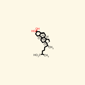 CC(CCC[C@@H](C)[C@H]1CC[C@H]2[C@@H]3CC=C4CC(O)(O)CC[C@]4(C)[C@H]3CC[C@]12C)C(=O)O